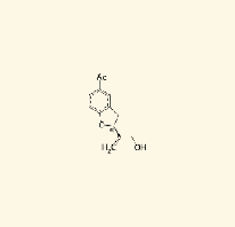 C=C(CO)[C@@H]1Cc2cc(C(C)=O)ccc2O1